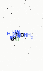 Nc1ncnc2c1c(-c1[nH]c3ncccc3c1Cl)nn2C1CCC(N)CC1